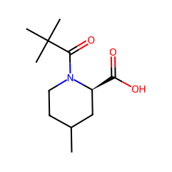 CC1CCN(C(=O)C(C)(C)C)[C@@H](C(=O)O)C1